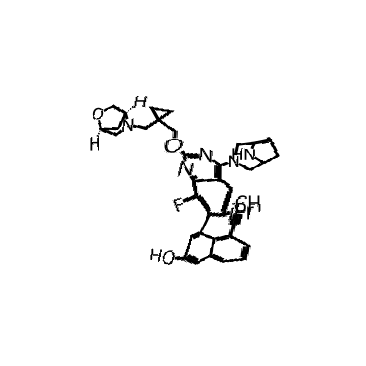 C#Cc1cccc2cc(O)cc(-c3c(C(C)C)cc4c(N5CC6CCC(C5)N6)nc(OCC5(CN6C[C@@H]7C[C@H]6CO7)CC5)nc4c3F)c12